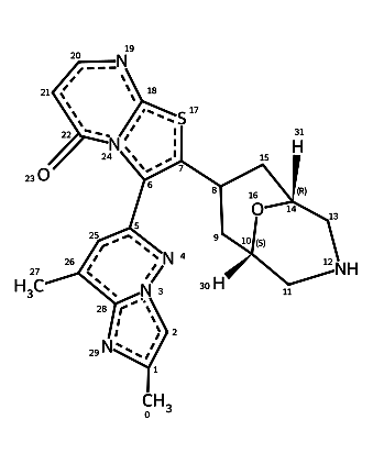 Cc1cn2nc(-c3c(C4C[C@H]5CNC[C@@H](C4)O5)sc4nccc(=O)n34)cc(C)c2n1